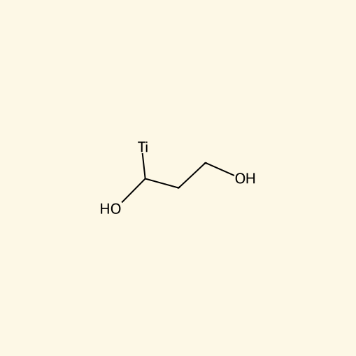 OCC[CH](O)[Ti]